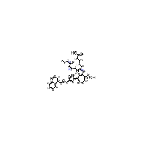 CC/C=C(F)\C=C/CN(C)/C(CCCCC(=O)O)=N\C1=CC(c2cc(COCc3ccnc4ccccc34)on2)=CCC=C1CO